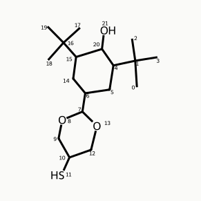 CC(C)(C)C1CC(C2OCC(S)CO2)CC(C(C)(C)C)C1O